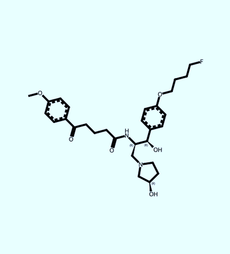 COc1ccc(C(=O)CCCC(=O)N[C@H](CN2CC[C@@H](O)C2)[C@H](O)c2ccc(OCCCCF)cc2)cc1